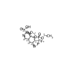 CCOP(=O)(OCC)C(F)(F)c1cc2nc(C(=O)O)ncc2cc1Br